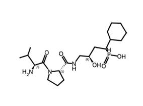 CC(C)[C@H](N)C(=O)N1CCC[C@H]1C(=O)NC[C@H](O)CC(C1CCCCC1)[PH](=O)O